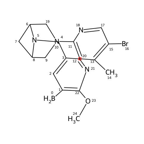 Bc1cc(CN2C3CC2CN(c2cc(C)c(Br)cn2)C3)cnc1OC